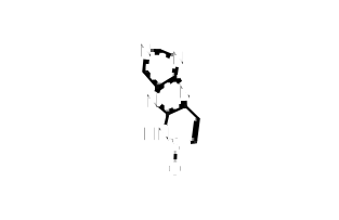 [O-][S+]1C=Cc2nc3ncncc3nc2N1